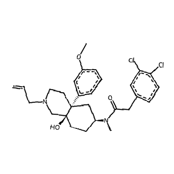 C=CCN1CC[C@@]2(c3cccc(OC)c3)C[C@@H](N(C)C(=O)Cc3ccc(Cl)c(Cl)c3)CC[C@]2(O)C1